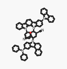 N#Cc1cc(-n2c3ccc(-n4c5ccccc5c5ccccc54)cc3c3ccc4c5ccccc5n(-c5ccccc5)c4c32)c(C#N)cc1-n1c2ccc(N(c3ccccc3)c3ccccc3)cc2c2c3ccccc3ccc21